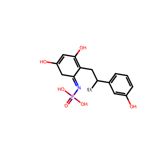 CCC(CC1=C(O)C=C(O)CC1=NP(=O)(O)O)c1cccc(O)c1